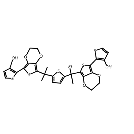 CCC(C)(c1ccc(C(C)(C)c2sc(-c3sccc3O)c3c2OCCO3)s1)c1sc(-c2sccc2O)c2c1OCCO2